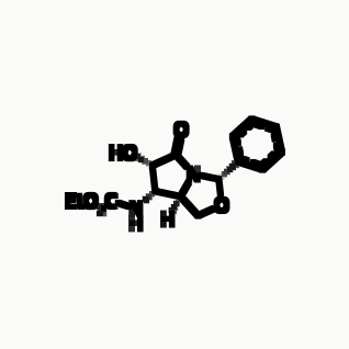 CCOC(=O)N[C@@H]1[C@H](O)C(=O)N2[C@H](c3ccccc3)OC[C@@H]12